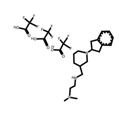 CN(C)CCNCC1CCCN(C2Cc3ccccc3C2)C1.O=C(O)C(F)(F)F.O=C(O)C(F)(F)F.O=C(O)C(F)(F)F